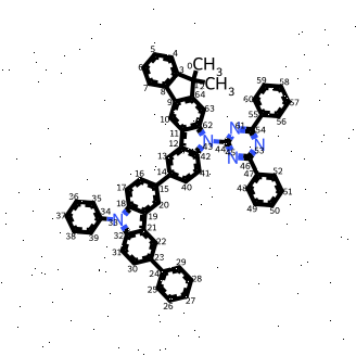 CC1(C)c2ccccc2-c2cc3c4cc(-c5ccc6c(c5)c5cc(-c7ccccc7)ccc5n6-c5ccccc5)ccc4n(-c4nc(-c5ccccc5)nc(-c5ccccc5)n4)c3cc21